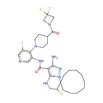 Nc1nn2c(c1C(=O)Nc1cncc(F)c1N1CCC(C(=O)N3CC(F)(F)C3)CC1)NCC(F)C21CCCCCCCCC1